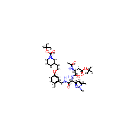 CC(=O)N[C@@H](CC(=O)OC(C)(C)C)C(=O)NC(C(=O)NCc1cc(OCCC2CCCN(C(=O)OC(C)(C)C)C2)ccc1C)c1cc(C)n(C)n1